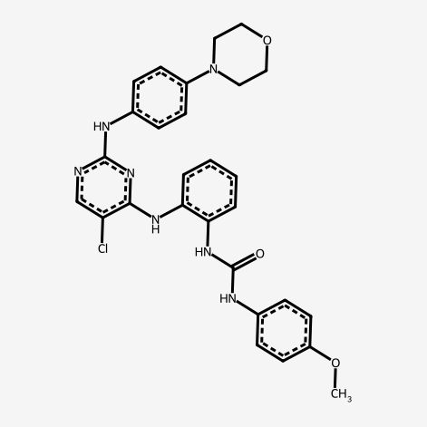 COc1ccc(NC(=O)Nc2ccccc2Nc2nc(Nc3ccc(N4CCOCC4)cc3)ncc2Cl)cc1